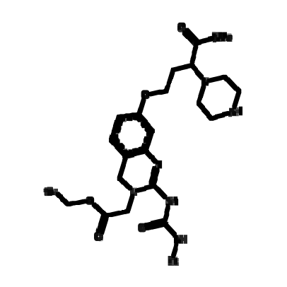 CCNC(=O)NC1=Nc2cc(OCCC(C(=O)NC)N3CCNCC3)ccc2CN1CC(=O)OCC(C)(C)C